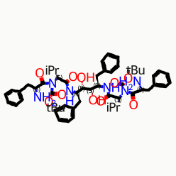 CC(C)[C@@H](C(=O)N[C@H](Cc1ccccc1)[C@H](O)[C@@H](O)[C@@H](Cc1ccccc1)NC(=O)[C@H](C(C)C)N(C(=O)OC(C)(C)C)C(=O)[C@@H](N)Cc1ccccc1)N(C(=O)OC(C)(C)C)C(=O)[C@@H](N)Cc1ccccc1